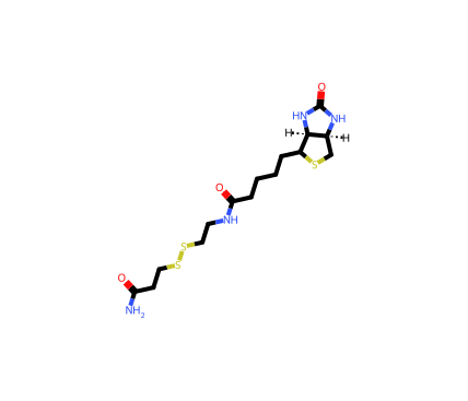 NC(=O)CCSSCCNC(=O)CCCCC1SC[C@@H]2NC(=O)N[C@H]12